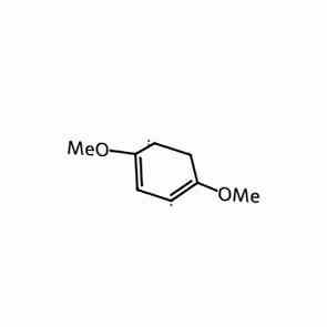 COC1=[C]C=C(OC)[C]C1